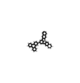 c1ccc2cc3c(cc2c#1)c1cc(-c2ccc4c5ccccc5c5ccccc5c4c2)cc2c4cc5c(cc4n3c21)C=CCC5